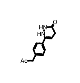 CC(=O)Cc1ccc(C2=CCC(=O)NN2)cc1